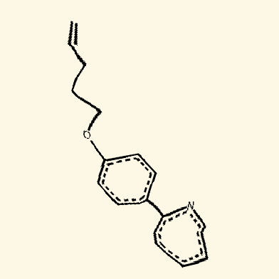 C=CCCCOc1ccc(-c2ccccn2)cc1